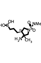 CNS(=O)(=O)N1C[C@H](CCCB(O)O)[C@@](C)(N)C1